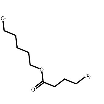 CC(C)CCCC(=O)OCCCCC[O]